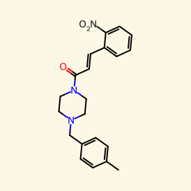 Cc1ccc(CN2CCN(C(=O)C=Cc3ccccc3[N+](=O)[O-])CC2)cc1